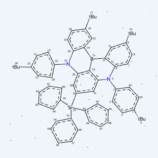 CC(C)(C)c1ccc(N2c3ccc(C(C)(C)C)cc3B3c4cc(C(C)(C)C)ccc4N(c4ccc(C(C)(C)C)cc4)c4cc([Si](c5ccccc5)(c5ccccc5)c5ccccc5)cc2c43)cc1